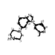 Cc1cc(-n2cnc3ccc(N4CCNCC4)cc32)ccn1